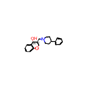 O[C@H]1c2ccccc2OC[C@@H]1CN1CCC(c2ccccc2)CC1